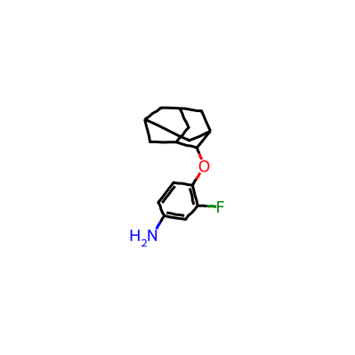 Nc1ccc(OC2C3CC4CC(C3)CC2C4)c(F)c1